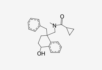 CN(CC1(Cc2ccccc2)CCC(O)c2ccccc21)C(=O)C1CC1